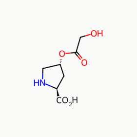 O=C(CO)O[C@H]1CN[C@H](C(=O)O)C1